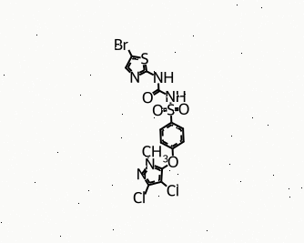 Cn1nc(Cl)c(Cl)c1Oc1ccc(S(=O)(=O)NC(=O)Nc2ncc(Br)s2)cc1